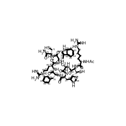 CC(=O)N[C@@H](CCCCNC(=N)N)C(=O)N[C@@H](CS)C(=O)N[C@H](C)C(=O)N[C@@H](Cc1cnc[nH]1)C(=O)N[C@H](Cc1ccccc1)C(=O)N[C@@H](CCCNC(=N)N)C(=O)N[C@@H](Cc1c[nH]c2ccccc12)C(=O)N[C@@H](CS)C(N)=O